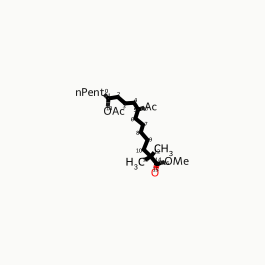 CCCCCC(CCCC(CCCCCC(C)(C)C(=O)OC)C(C)=O)OC(C)=O